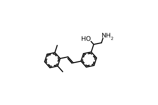 Cc1cccc(C)c1C=Cc1cccc(C(O)CN)c1